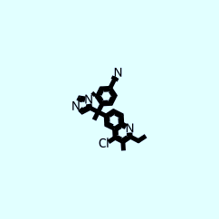 CCc1nc2ccc(C(C)(c3ccc(C#N)cc3)c3cncn3C)cc2c(Cl)c1C